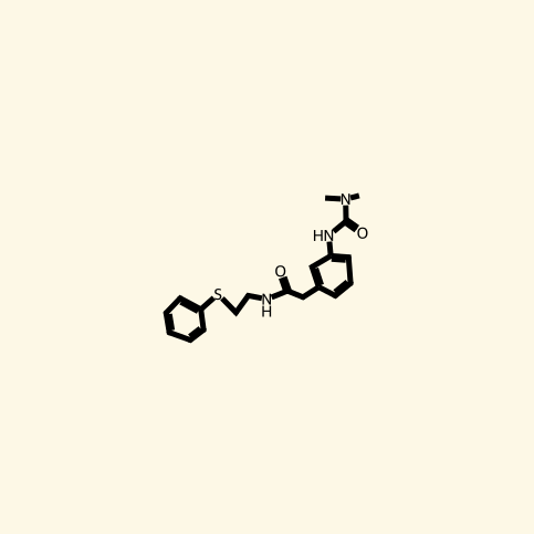 CN(C)C(=O)Nc1cccc(CC(=O)NCCSc2ccccc2)c1